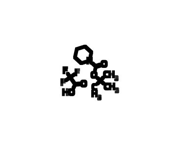 CC(C)(C)OC(=O)N1CCCCC1.O=C(O)C(F)(F)F